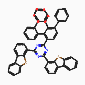 c1ccc(-c2ccccc2-c2c(-c3nc(-c4cccc5c4sc4ccccc45)nc(-c4cccc5c4sc4ccccc45)n3)ccc(-c3ccccc3)c2-c2ccccc2)cc1